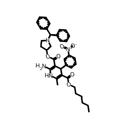 CCCCCCOC(=O)C1=C(C)NC(N)=C(C(=O)OC2CCN(C(c3ccccc3)c3ccccc3)C2)C1c1cccc([N+](=O)[O-])c1